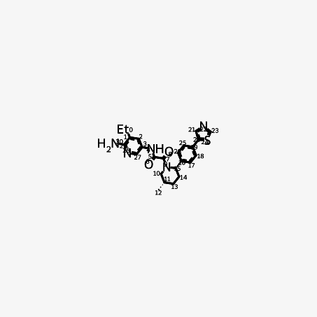 CCc1cc(NC(=O)C(=O)N2C[C@@H](C)CC[C@@H]2c2ccc(-c3cncs3)cc2)cnc1N